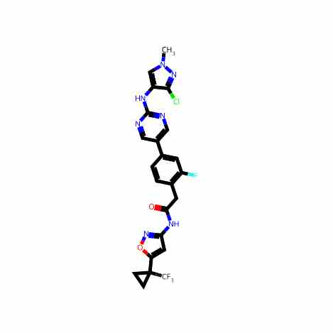 Cn1cc(Nc2ncc(-c3ccc(CC(=O)Nc4cc(C5(C(F)(F)F)CC5)on4)c(F)c3)cn2)c(Cl)n1